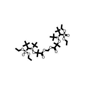 CCOP(=O)(OCC)C(N(OC(C)(C)C(=O)OCOC(=O)C(C)(C)ON(C(C(C)(C)C)P(=O)(OCC)OCC)C(C)(C)C)C(C)(C)C)C(C)(C)C